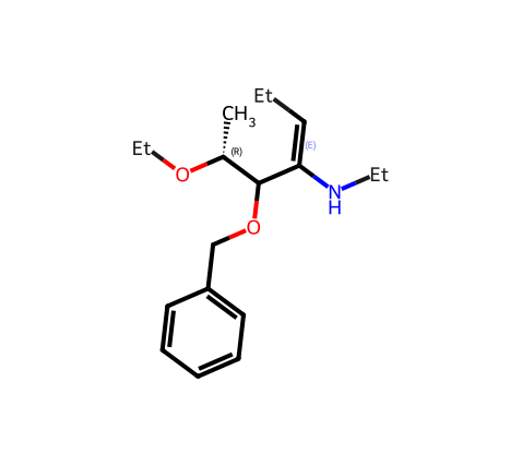 CC/C=C(/NCC)C(OCc1ccccc1)[C@@H](C)OCC